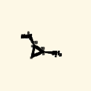 CN[C@H]1C[C@@H]1N